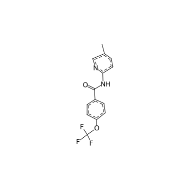 Cc1ccc(NC(=O)c2ccc(OC(F)(F)F)cc2)nc1